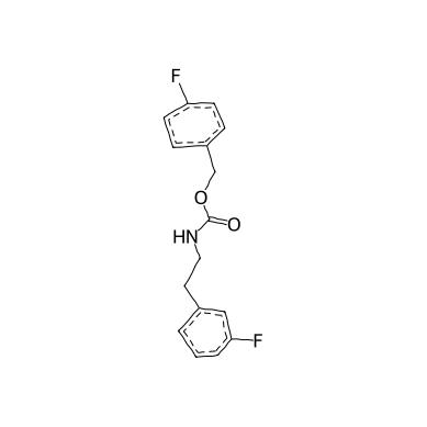 O=C(NCCc1cccc(F)c1)OCc1ccc(F)cc1